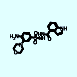 Nc1ccc(S(=O)(=O)NNC(=O)c2cccc3[nH]ccc23)cc1N1CCOCC1